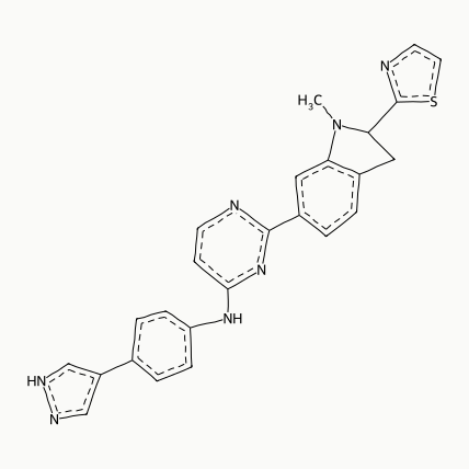 CN1c2cc(-c3nccc(Nc4ccc(-c5cn[nH]c5)cc4)n3)ccc2CC1c1nccs1